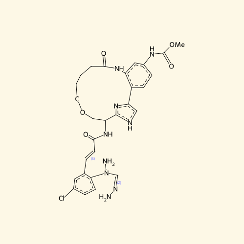 COC(=O)Nc1ccc2c(c1)NC(=O)CCCCOCC(NC(=O)/C=C/c1cc(Cl)ccc1N(N)/C=N\N)c1nc-2c[nH]1